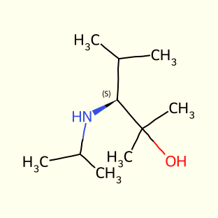 CC(C)N[C@@H](C(C)C)C(C)(C)O